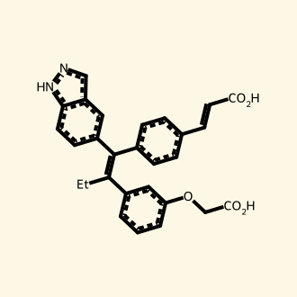 CC/C(=C(/c1ccc(/C=C/C(=O)O)cc1)c1ccc2[nH]ncc2c1)c1cccc(OCC(=O)O)c1